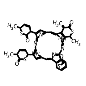 C=C1C(=O)SC(C)c2c1c1cc3nc(nc4[nH]c(cc5nc(nc2[nH]1)C1=C5C2C=CC1C(=O)S2)cc4C1C=CC(C)C(=O)S1)C(C1C=CC(C)SC1=O)=C3